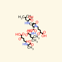 CC(C)C[C@H](N)C(=O)O.CN[C@@H](CC(C)C)C(=O)O.C[C@H](NCCCC(=O)C(=O)O)C(=O)O.O=C(O)C(=O)CCCN1C(=O)CC[C@H]1C(=O)O